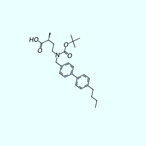 CCCCc1ccc(-c2ccc(CN(CC[C@H](C)C(=O)O)C(=O)OC(C)(C)C)cc2)cc1